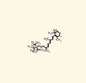 CC1=C(/C=C/C(C)=C/C=C/[C@H](C)CCO[Si](C(C)C)(C(C)C)C(C)C)C(C)(C)CCC1